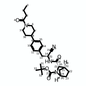 CCCC(=O)N1CCC(c2ccc(C[C@@H](C#N)NC(=O)[C@@H]3[C@H]4CC[C@H](C4)N3C(=O)OC(C)(C)C)cc2)CC1